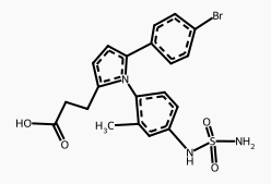 Cc1cc(NS(N)(=O)=O)ccc1-n1c(CCC(=O)O)ccc1-c1ccc(Br)cc1